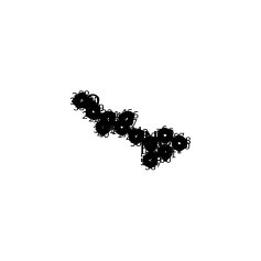 c1ccc(-c2cccc(-c3nc(-c4ccc(-c5ccc(-c6ccc(-c7ccc8c(c7)oc7ccccc78)c7ccccc67)c6ccccc56)cc4)nc(-c4ccccc4-c4ccccc4)n3)c2)cc1